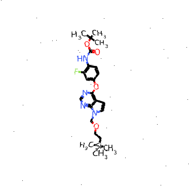 CC(C)(C)OC(=O)Nc1ccc(Oc2ncnc3c2ccn3COCC[Si](C)(C)C)cc1F